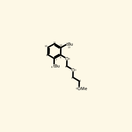 COCCOCOc1c(C(C)(C)C)cccc1C(C)(C)C